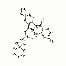 COc1ccc2c(c1)c(CC(=O)NCC1(Cl)CCCCC1)c(C)n2C(=O)c1ccc(Cl)cc1